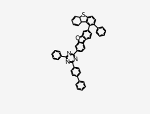 C1=CC2Sc3ccc(-c4ccccc4)c(-c4ccc5c(c4)oc4cc(-c6nc(-c7ccccc7)nc(-c7ccc(-c8ccccc8)cc7)n6)ccc45)c3C2C=C1